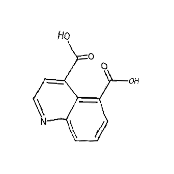 O=C(O)c1cccc2nccc(C(=O)O)c12